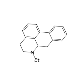 CCN1CCc2cccc3c2C1Cc1ccccc1-3